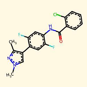 Cc1nn(C)cc1-c1cc(F)c(NC(=O)c2ccccc2Cl)cc1F